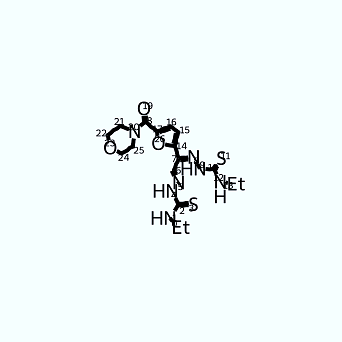 CCNC(=S)N/N=C/C(=N\NC(=S)NCC)c1ccc(C(=O)N2CCOCC2)o1